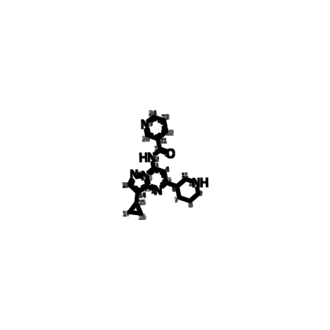 O=C(Nc1cc(C2CCCNC2)nc2c(C3CC3)cnn12)c1cccnc1